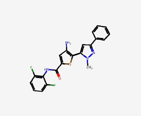 Cn1nc(-c2ccccc2)cc1-c1sc(C(=O)Nc2c(F)cccc2F)cc1N